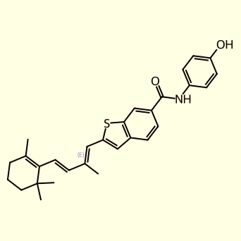 CC1=C(C=C/C(C)=C/c2cc3ccc(C(=O)Nc4ccc(O)cc4)cc3s2)C(C)(C)CCC1